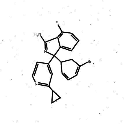 NC1=NC(c2ccnc(C3CC3)c2)(C2C=CC=C(Br)C2)c2cccc(F)c21